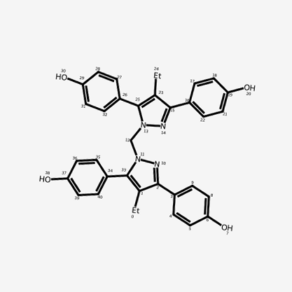 CCc1c(-c2ccc(O)cc2)nn(Cn2nc(-c3ccc(O)cc3)c(CC)c2-c2ccc(O)cc2)c1-c1ccc(O)cc1